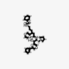 O=C(CC(CCCNS(=O)(=O)C1=CC=CCC1)C1=COC=CO1)N[C@H](CN1CCCC1)[C@@H](O)C1=COC=C(C2=CC=CCC2)O1